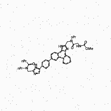 CCCC(=O)N(CCC)Cc1ncc(-c2ccc(-c3ccc4c(c3)c3ccccc3c3nc(CN(CCC)C(=O)CNC(=O)OC)[nH]c43)cc2)[nH]1